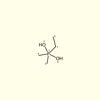 CCP(C)(C)(O)O